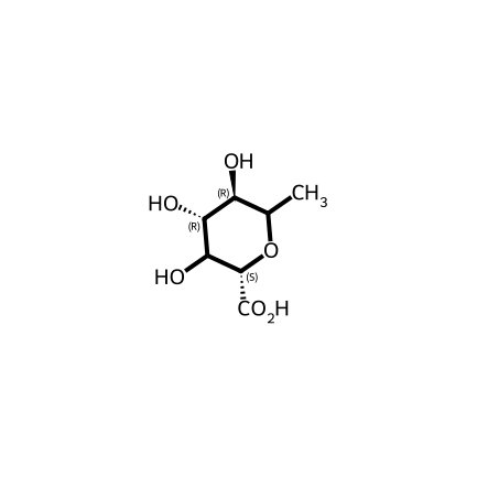 CC1O[C@H](C(=O)O)C(O)[C@H](O)[C@H]1O